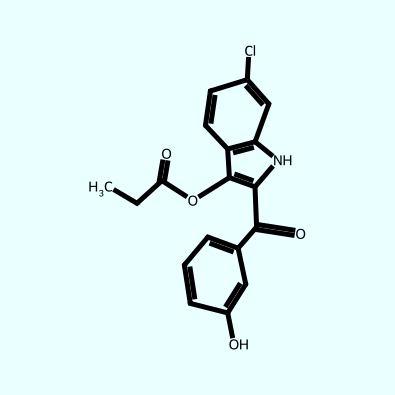 CCC(=O)Oc1c(C(=O)c2cccc(O)c2)[nH]c2cc(Cl)ccc12